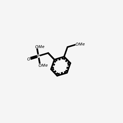 COCc1ccccc1CP(=O)(OC)OC